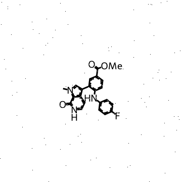 COC(=O)c1ccc(Nc2ccc(F)cc2)c(-c2cn(C)c3c(=O)[nH]ccc23)c1